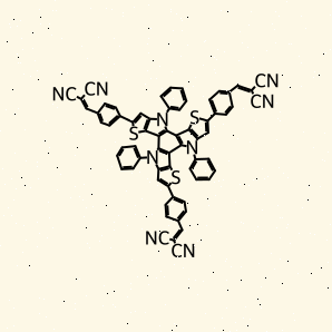 N#CC(C#N)=Cc1ccc(-c2cc3c(s2)c2c(c4c5sc(-c6ccc(C=C(C#N)C#N)cc6)cc5n(-c5ccccc5)c4c4c5sc(-c6ccc(C=C(C#N)C#N)cc6)cc5n(-c5ccccc5)c24)n3-c2ccccc2)cc1